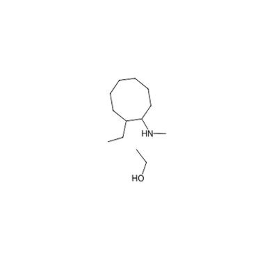 CCC1CCCCCCC1NC.CCO